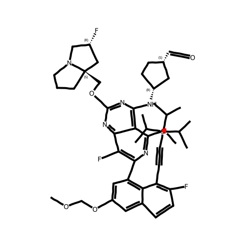 COCOc1cc(-c2nc(OC)c3c(N[C@@H]4CC[C@H](C=O)C4)nc(OC[C@@]45CCCN4C[C@H](F)C5)nc3c2F)c2c(C#C[Si](C(C)C)(C(C)C)C(C)C)c(F)ccc2c1